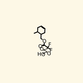 CC1CC=CCC1COC(=O)C(F)(F)S(=O)(=O)O